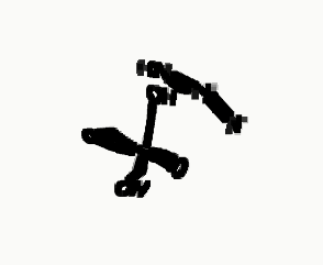 O=S(=O)(O)O.[N-]=[N+]=N